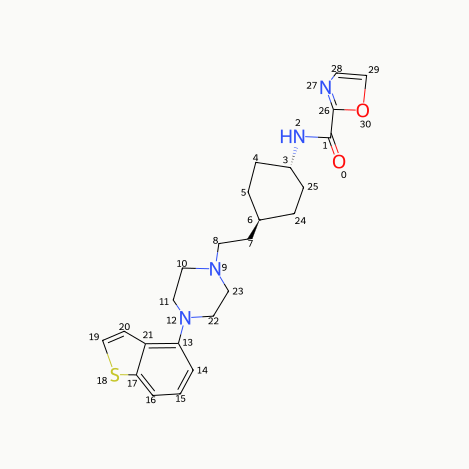 O=C(N[C@H]1CC[C@H](CCN2CCN(c3cccc4sccc34)CC2)CC1)c1ncco1